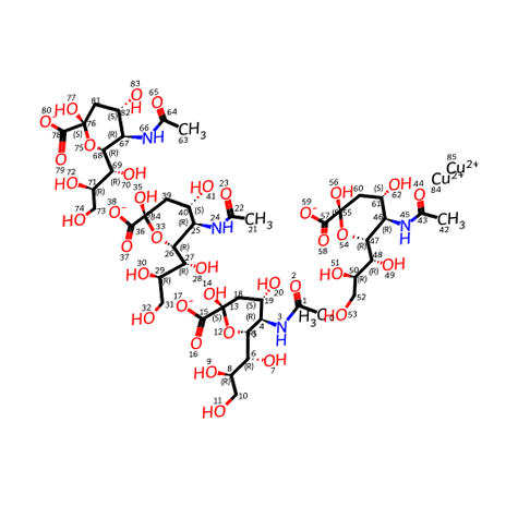 CC(=O)N[C@H]1[C@H]([C@H](O)[C@H](O)CO)O[C@](O)(C(=O)[O-])C[C@@H]1O.CC(=O)N[C@H]1[C@H]([C@H](O)[C@H](O)CO)O[C@](O)(C(=O)[O-])C[C@@H]1O.CC(=O)N[C@H]1[C@H]([C@H](O)[C@H](O)CO)O[C@](O)(C(=O)[O-])C[C@@H]1O.CC(=O)N[C@H]1[C@H]([C@H](O)[C@H](O)CO)O[C@](O)(C(=O)[O-])C[C@@H]1O.[Cu+2].[Cu+2]